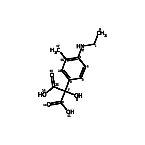 CCNc1ccc(C(O)(C(=O)O)C(=O)O)cc1C